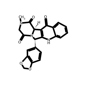 CN1CC(=O)N2[C@@H](c3ccc4c(c3)OCO4)c3[nH]c4ccccc4c(=O)c3[C@@H]2C1=O